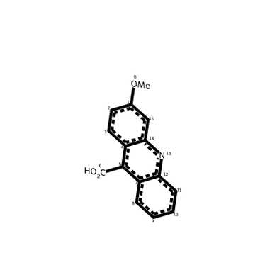 COc1ccc2c(C(=O)O)c3ccccc3nc2c1